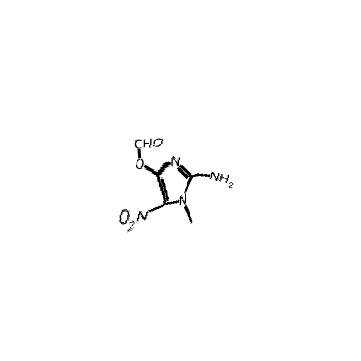 Cn1c(N)nc(OC=O)c1[N+](=O)[O-]